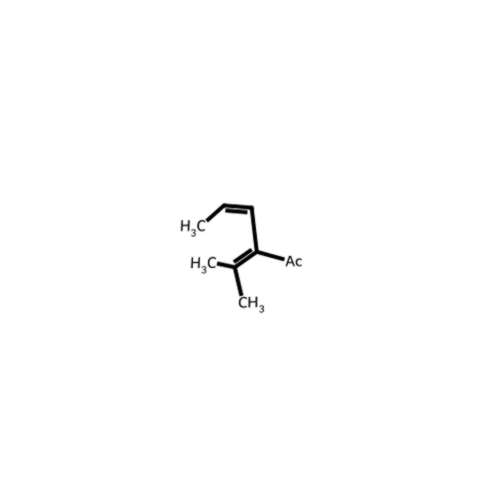 C/C=C\C(C(C)=O)=C(C)C